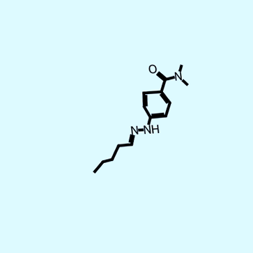 CCCCC=NNc1ccc(C(=O)N(C)C)cc1